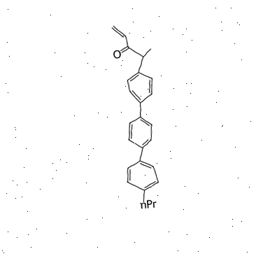 C=CC(=O)C(C)c1ccc(-c2ccc(-c3ccc(CCC)cc3)cc2)cc1